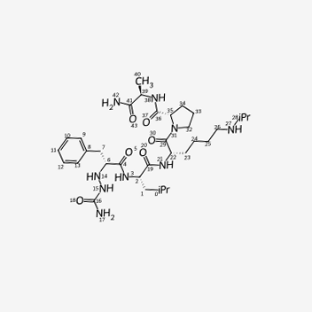 CC(C)C[C@H](NC(=O)[C@@H](Cc1ccccc1)NNC(N)=O)C(=O)N[C@@H](CCCCNC(C)C)C(=O)N1CCC[C@H]1C(=O)N[C@H](C)C(N)=O